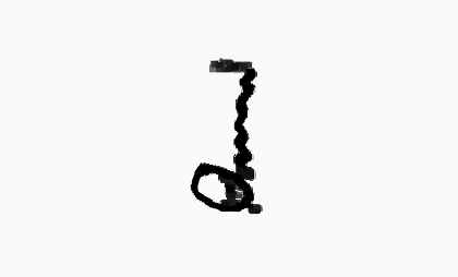 [CH2]CCCCCCCCCCCCCCCCCCCOC1CCC([O])CC2CCCCCC1CCCCC2